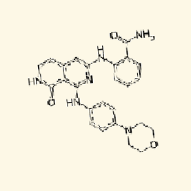 NC(=O)c1ccccc1Nc1cc2cc[nH]c(=O)c2c(Nc2ccc(N3CCOCC3)cc2)n1